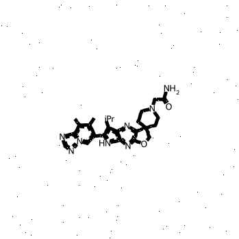 Cc1c(-c2[nH]c3nc4c(nc3c2C(C)C)C2(CCN(CC(N)=O)CC2)CO4)cn2ncnc2c1C